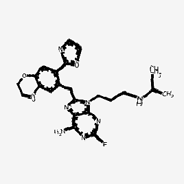 CC(C)NCCCn1c(Cc2cc3c(cc2-c2ncco2)OCCO3)nc2c(N)nc(F)nc21